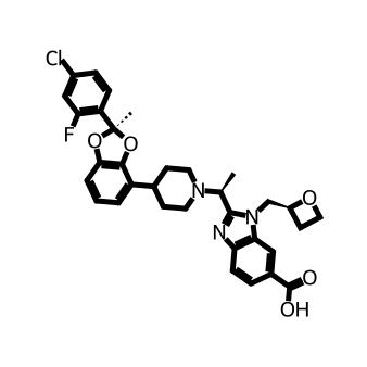 C[C@@H](c1nc2ccc(C(=O)O)cc2n1C[C@@H]1CCO1)N1CCC(c2cccc3c2O[C@](C)(c2ccc(Cl)cc2F)O3)CC1